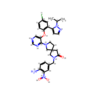 CC(C)n1nccc1-c1cc(F)ccc1Oc1cncnc1N1CCC2(CC(=O)N(Cc3ccc(N)c([N+](=O)[O-])c3)C2)C1